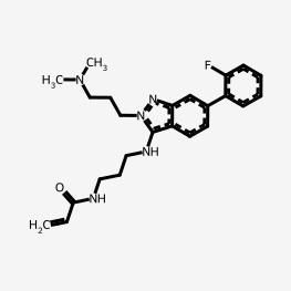 C=CC(=O)NCCCNc1c2ccc(-c3ccccc3F)cc2nn1CCCN(C)C